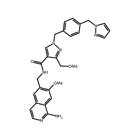 COCc1nn(Cc2ccc(Cn3cccn3)cc2)cc1C(=O)NCc1cc2ccnc(N)c2cc1OC